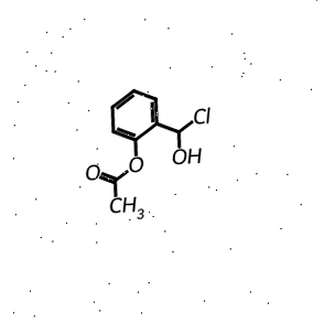 CC(=O)Oc1ccccc1C(O)Cl